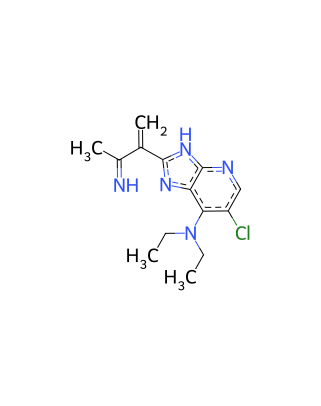 C=C(C(C)=N)c1nc2c(N(CC)CC)c(Cl)cnc2[nH]1